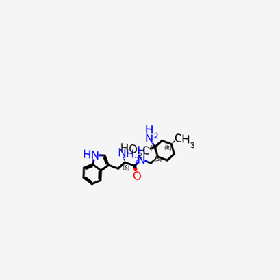 C[C@@H]1CC[C@@H](CNC(=O)[C@@H](N)Cc2c[nH]c3ccccc23)[C@@](N)(C(=O)O)C1